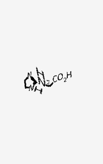 C1=NCCN1.NCC(=O)O